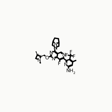 Cc1cc(N)nc(-c2ncc3c(N4CC5CCC(C4)N5)nc(OC[C@@H]4[C@H](C)CN4C)nc3c2F)c1C(F)(F)F